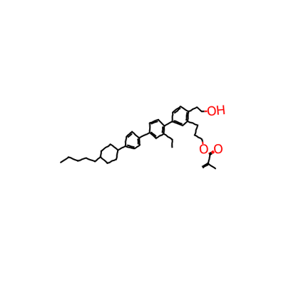 C=C(C)C(=O)OCCCc1cc(-c2ccc(-c3ccc(C4CCC(CCCCC)CC4)cc3)cc2CC)ccc1CCO